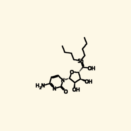 CCC[CH2][Sn]([CH2]CCC)=[C](O)[C@H]1O[C@@H](n2ccc(N)nc2=O)[C@H](O)[C@@H]1O